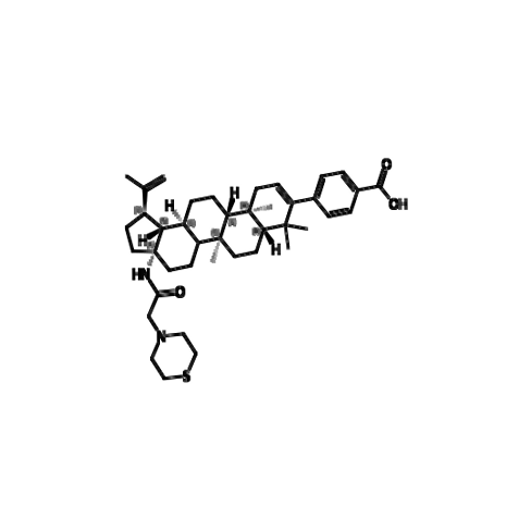 C=C(C)[C@@H]1CC[C@]2(NC(=O)CN3CCSCC3)CCC3[C@H](CC[C@@H]4[C@@]5(C)CC=C(c6ccc(C(=O)O)cc6)C(C)(C)[C@@H]5CC[C@@]34C)[C@@H]12